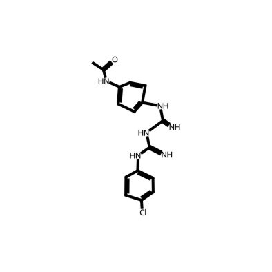 CC(=O)Nc1ccc(NC(=N)NC(=N)Nc2ccc(Cl)cc2)cc1